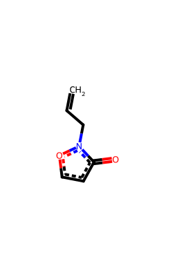 C=CCn1occc1=O